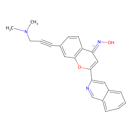 CN(C)CC#Cc1ccc2/c(=N/O)cc(-c3cc4ccccc4cn3)oc2c1